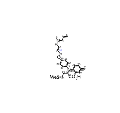 C=CCN(C)C/C=C/COc1ccc(N(c2ccc(F)cc2)[C@@H](CCSC)C(=O)O)cc1